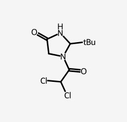 CC(C)(C)C1NC(=O)CN1C(=O)C(Cl)Cl